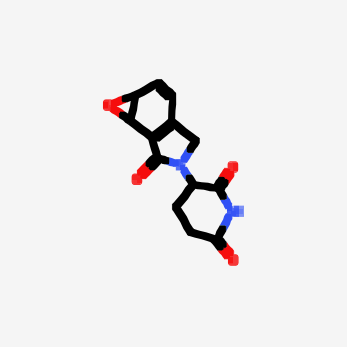 O=C1CCC(N2CC3=C(C2=O)C2OC2C=C3)C(=O)N1